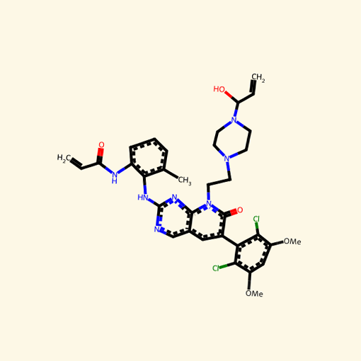 C=CC(=O)Nc1cccc(C)c1Nc1ncc2cc(-c3c(Cl)c(OC)cc(OC)c3Cl)c(=O)n(CCN3CCN(C(O)C=C)CC3)c2n1